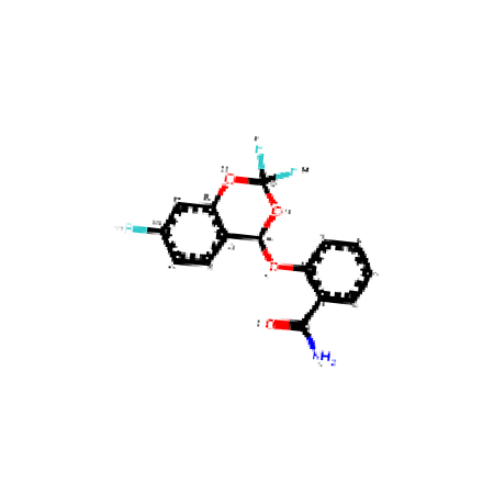 NC(=O)c1ccccc1OC1OC(F)(F)Oc2cc(F)ccc21